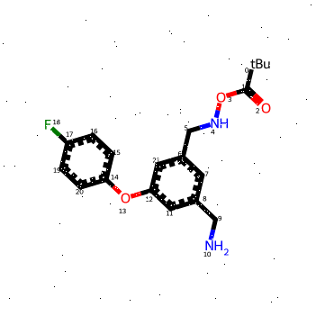 CC(C)(C)C(=O)ONCc1cc(CN)cc(Oc2ccc(F)cc2)c1